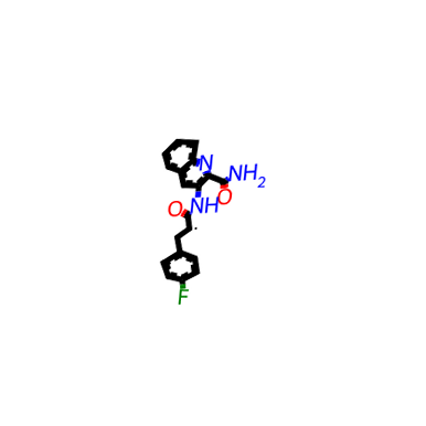 NC(=O)c1nc2ccccc2cc1NC(=O)[CH]Cc1ccc(F)cc1